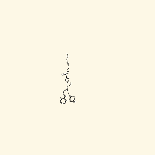 COCC#CCCOC(=O)N1CC2(CCC(N3CCN(c4ncccc4-c4cnccn4)CC3)C2)C1